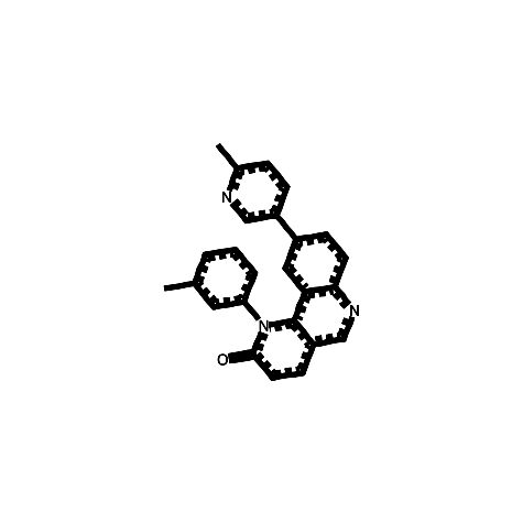 Cc1cccc(-n2c(=O)ccc3cnc4ccc(-c5ccc(C)nc5)cc4c32)c1